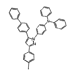 Cc1ccc(-c2cc(-c3ccc(-c4ccccc4)cc3)n(-c3ccc(N(c4ccccc4)c4ccccc4)cc3)n2)cc1